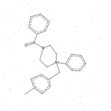 Cc1ccc(C[N+]2(c3ccccc3)CCN(C(=O)c3ccccc3)CC2)cc1